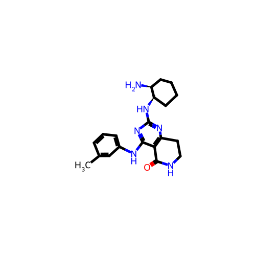 Cc1cccc(Nc2nc(N[C@@H]3CCCC[C@@H]3N)nc3c2C(=O)NCC3)c1